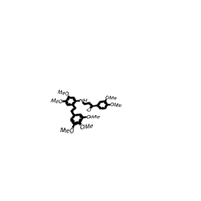 COc1ccc(C(=O)C=CNc2cc(OC)c(OC)cc2C=Cc2cc(OC)c(OC)c(OC)c2)cc1OC